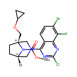 CC(C)(C)OC(=O)N1[C@H]2CC[C@]1(COC1CC1)CN(c1nc(Cl)nc3c(F)c(Br)ccc13)C2